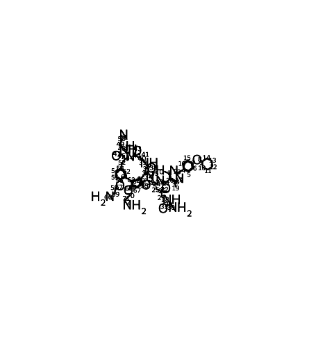 Cc1nc(-c2ccc(OC3CCCCC3)cc2)nc(C)c1C(=O)N[C@@H](CCCNC(N)=O)C(=O)N(C)[C@@H]1C(=O)N[C@@H](C)C(=O)N[C@H](C(=O)NCC#N)Cc2ccc(OCCN)c(c2)-c2cc1ccc2OCCN